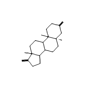 CC12CCC3C(CC[C@H]4CC(=O)CCC34C)C1CCC2=O